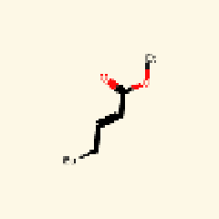 CCOC(=O)C=CC[C@H](C)CC